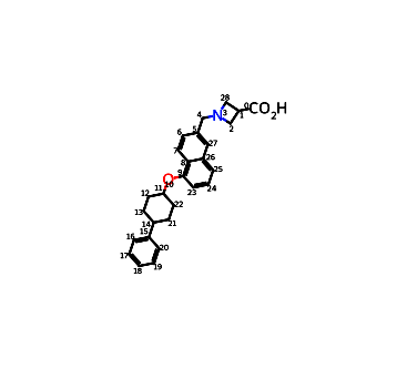 O=C(O)C1CN(Cc2ccc3c(OC4CCC(c5ccccc5)CC4)cccc3c2)C1